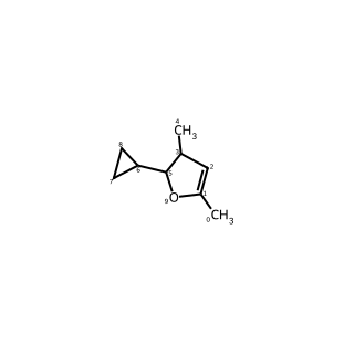 CC1=CC(C)C(C2CC2)O1